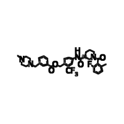 Cc1cccc(F)c1C(=O)N1CCC[C@H](C(=O)Nc2ccc(COC(=O)c3cccc(CN4CCN(C)CC4)c3)c(C(F)(F)F)c2)C1